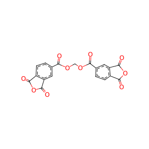 O=C(OCOC(=O)c1ccc2c(c1)C(=O)OC2=O)c1ccc2c(c1)C(=O)OC2=O